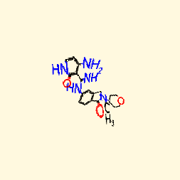 CC1(N2Cc3cc(NC(=N)c4c(N)cc[nH]c4=O)ccc3C2=O)CCOCC1